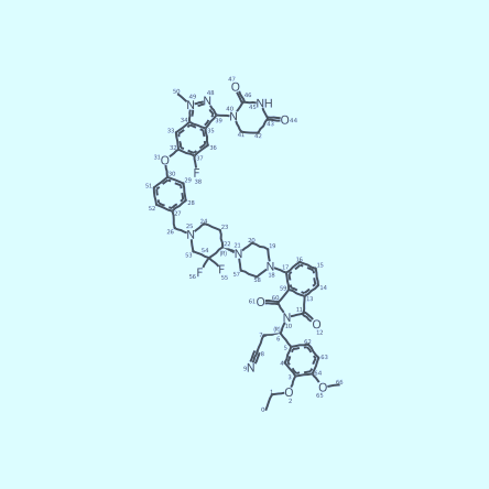 CCOc1cc([C@@H](CC#N)N2C(=O)c3cccc(N4CCN([C@@H]5CCN(Cc6ccc(Oc7cc8c(cc7F)c(N7CCC(=O)NC7=O)nn8C)cc6)CC5(F)F)CC4)c3C2=O)ccc1OC